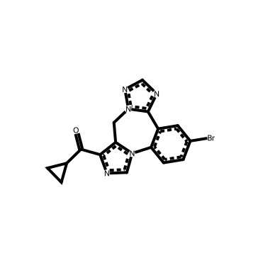 O=C(c1ncn2c1Cn1ncnc1-c1cc(Br)ccc1-2)C1CC1